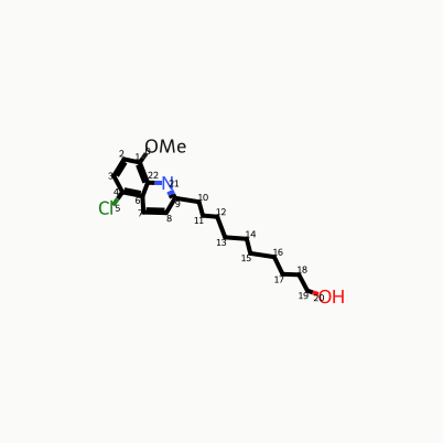 COc1ccc(Cl)c2ccc(CCCCCCCCCCO)nc12